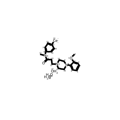 COc1ccccc1N1CCN(CCC(=O)N(C)c2cc[c]([Ge])cc2)CC1.O.O.O